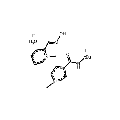 C[n+]1ccc(C(=O)NC(C)(C)C)cc1.C[n+]1ccccc1C=NO.O.[I-].[I-]